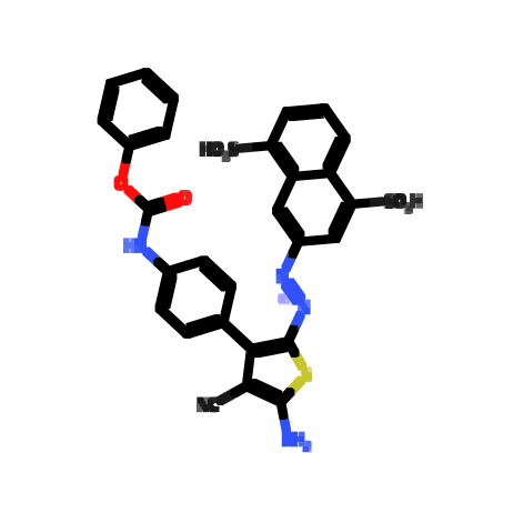 N#Cc1c(N)sc(/N=N/c2cc(S(=O)(=O)O)c3cccc(S(=O)(=O)O)c3c2)c1-c1ccc(NC(=O)Oc2ccccc2)cc1